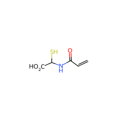 C=CC(=O)NC(S)C(=O)O